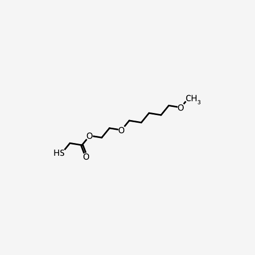 COCCCCCOCCOC(=O)CS